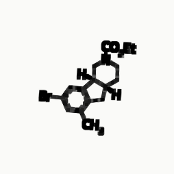 CCOC(=O)N1CC[C@@H]2Cc3c(C)cc(Br)cc3[C@@H]2C1